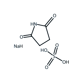 O=C1CCC(=O)N1.O=S(=O)(O)O.[NaH]